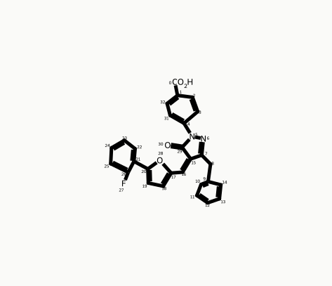 O=C(O)c1ccc(N2N=C(Cc3ccccc3)C(=Cc3ccc(-c4ccccc4F)o3)C2=O)cc1